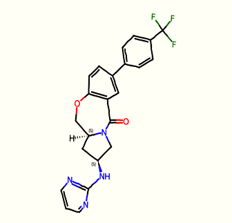 O=C1c2cc(-c3ccc(C(F)(F)F)cc3)ccc2OC[C@@H]2C[C@H](Nc3ncccn3)CN12